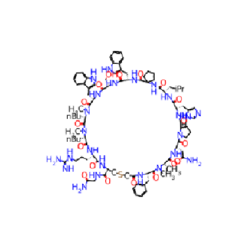 CCCC[C@H]1C(=O)N(C)[C@@H](CCCC)C(=O)N[C@@H](CCCNC(=N)N)C(=O)N[C@H](C(=O)NCC(N)=O)CSCC(=O)N[C@@H](Cc2ccccc2)C(=O)N(C)[C@@H](C)C(=O)N[C@@H](CC(N)=O)C(=O)N2CCC[C@H]2C(=O)N[C@@H](Cc2cnc[nH]2)C(=O)N[C@@H](CC(C)C)C(=O)NC2(CCCC2)C(=O)N[C@@H](Cc2c[nH]c3ccccc23)C(=O)N[C@@H](CO)C(=O)N[C@@H](Cc2c[nH]c3ccccc23)C(=O)N1C